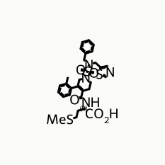 CSCC[C@H](NC(=O)C1=C(c2ccccc2C)CN(S(=O)(=O)N(Cc2ccccc2)Cc2cncs2)CC1)C(=O)O